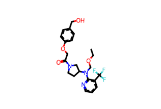 CCOCN(c1ncccc1C(F)(F)F)C1CCN(C(=O)COc2ccc(CO)cc2)C1